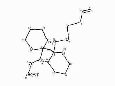 C=CCCO[SiH2]C1(C2([SiH2]OCCCCC)CCCCO2)CCCCO1